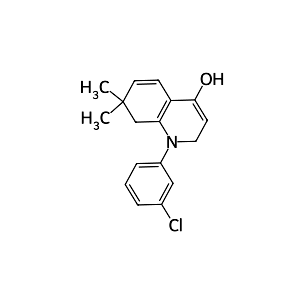 CC1(C)C=CC2=C(C1)N(c1cccc(Cl)c1)CC=C2O